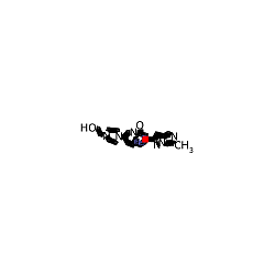 Cc1cn2nc(C3=C\C(=O)N4C=C(N5CCN(CCO)CC5)C=C\C4=C/C=C/3)cc2cn1